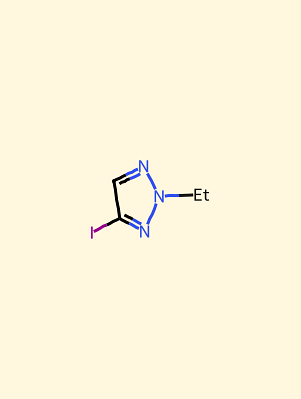 CCn1ncc(I)n1